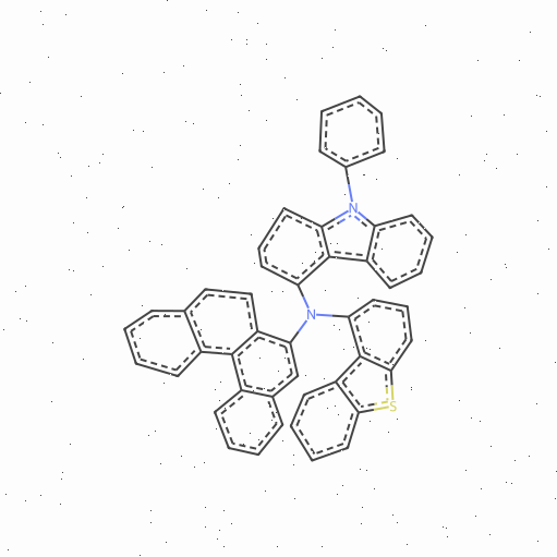 c1ccc(-n2c3ccccc3c3c(N(c4cc5ccccc5c5c4ccc4ccccc45)c4cccc5sc6ccccc6c45)cccc32)cc1